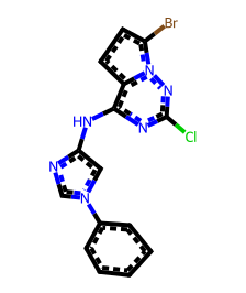 Clc1nc(Nc2cn(-c3ccccc3)cn2)c2ccc(Br)n2n1